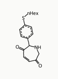 CCCCCCSc1ccc(C2NCC(=O)C=CC2=O)cc1